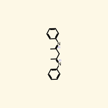 C/C(C/C(C)=N/c1ccccc1)=N\c1ccccc1